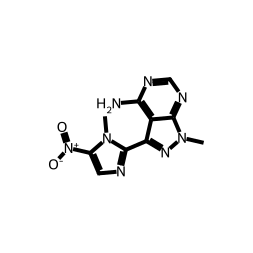 Cn1c([N+](=O)[O-])cnc1-c1nn(C)c2ncnc(N)c12